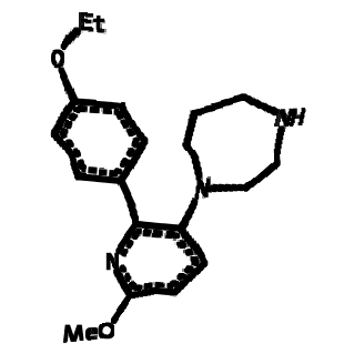 CCOc1ccc(-c2nc(OC)ccc2N2CCCNCC2)cc1